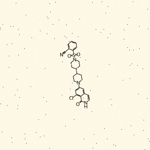 N#Cc1ccccc1S(=O)(=O)N1CCC(C2CCN(c3cc(Cl)c4c(=O)[nH]ccc4c3)CC2)CC1